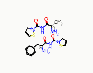 C[C@H](N)C(=O)NC(=O)N1CC=CS1.N[C@@H](Cc1ccccc1)C(=O)NC(=O)N1CC=CS1